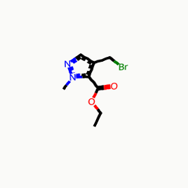 CCOC(=O)c1c(CBr)cnn1C